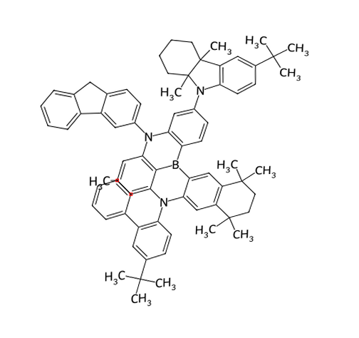 Cc1cc2c3c(c1)N(c1ccc(C(C)(C)C)cc1-c1ccccc1)c1cc4c(cc1B3c1ccc(N3c5ccc(C(C)(C)C)cc5C5(C)CCCCC35C)cc1N2c1ccc2c(c1)-c1ccccc1C2)C(C)(C)CCC4(C)C